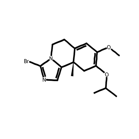 COC1=C(OC(C)C)C[C@@]2(C)C(=C1)CCn1c2cnc1Br